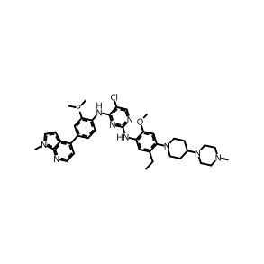 CCc1cc(Nc2ncc(Cl)c(Nc3ccc(-c4ccnc5c4ccn5C)cc3P(C)C)n2)c(OC)cc1N1CCC(N2CCN(C)CC2)CC1